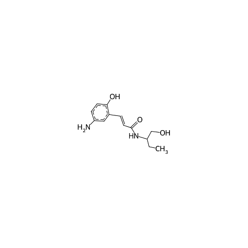 CCC(CO)NC(=O)/C=C/c1cc(N)ccc1O